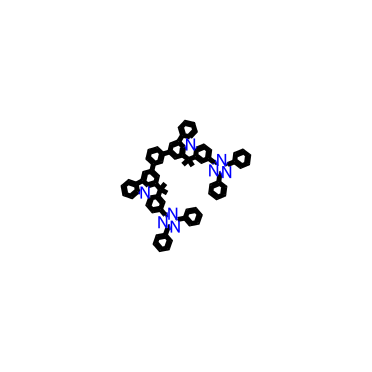 CC1(C)c2cc(-c3nc(-c4ccccc4)nc(-c4ccccc4)n3)ccc2-n2c3ccccc3c3cc(-c4cccc(-c5cc6c7c(c5)c5ccccc5n7-c5ccc(-c7nc(-c8ccccc8)nc(-c8ccccc8)n7)cc5C6(C)C)c4)cc1c32